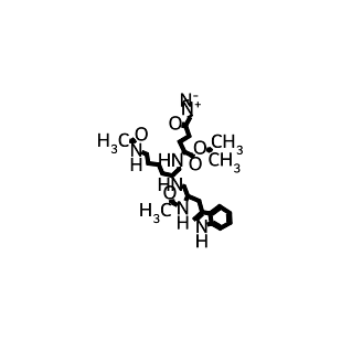 CC(=O)NCCCCC(CNC(CCC(=O)C=[N+]=[N-])C(=O)OC(C)C)NCC(Cc1c[nH]c2ccccc12)NC(C)=O